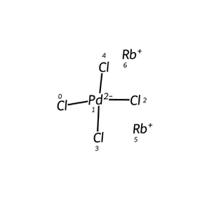 [Cl][Pd-2]([Cl])([Cl])[Cl].[Rb+].[Rb+]